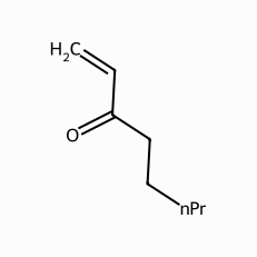 C=CC(=O)CCCCC